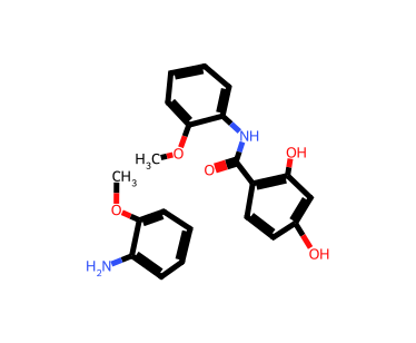 COc1ccccc1N.COc1ccccc1NC(=O)c1ccc(O)cc1O